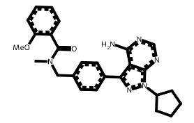 COc1ccccc1C(=O)N(C)Cc1ccc(-c2nn(C3CCCC3)c3ncnc(N)c23)cc1